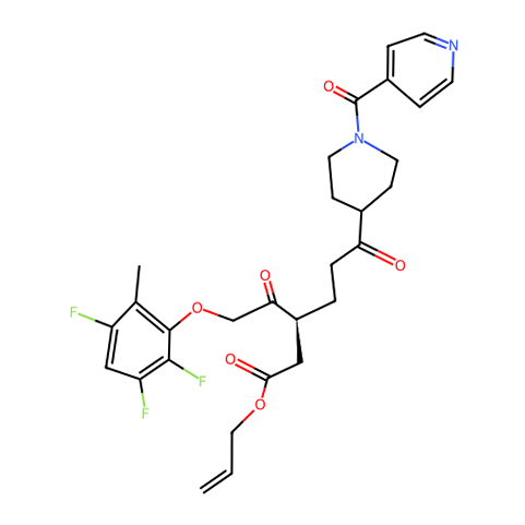 C=CCOC(=O)C[C@H](CCC(=O)C1CCN(C(=O)c2ccncc2)CC1)C(=O)COc1c(C)c(F)cc(F)c1F